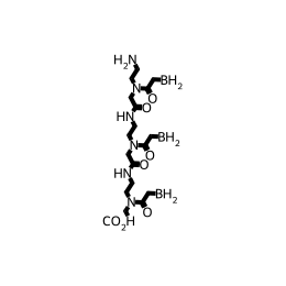 BCC(=O)N(CCNC(=O)CN(CCNC(=O)CN(CCN)C(=O)CB)C(=O)CB)CC(=O)O